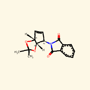 CC1(C)O[C@H]2[C@H](N3C(=O)c4ccccc4C3=O)C=C[C@H]2O1